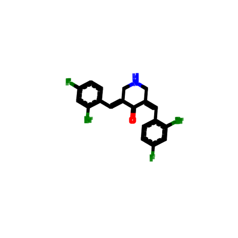 O=C1C(=Cc2ccc(F)cc2Br)CNCC1=Cc1ccc(F)cc1Br